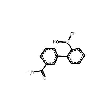 NC(=O)c1cccc(-c2ccccc2B(O)O)c1